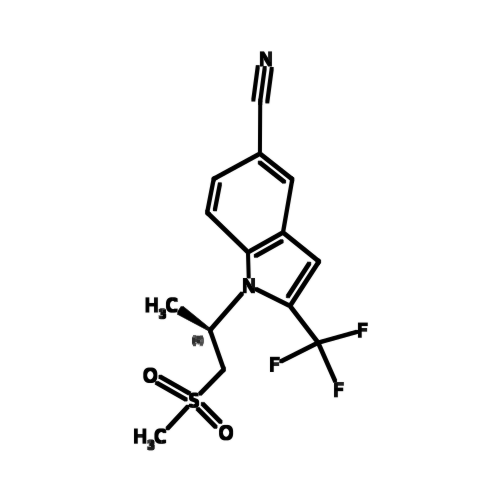 C[C@H](CS(C)(=O)=O)n1c(C(F)(F)F)cc2cc(C#N)ccc21